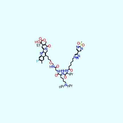 CCCN(CCC)CCCC[C@H](NC(=O)[C@@H](NC(=O)CCCCCn1cc(-c2cnc(S(C)(=O)=O)nc2)nn1)C(C)C)C(=O)NCC(=O)NCOCCCc1c2c(nc3cc(F)c(C)cc13)-c1cc3c(c(=O)n1C2)COC(=O)[C@]3(O)CC